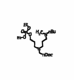 CCCCCCCCCCCN(CCCOP(=O)(OCC)OCC)CCCN(C)CCCC